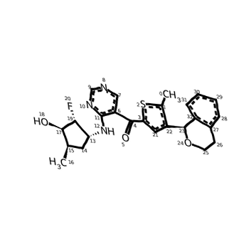 Cc1sc(C(=O)c2cncnc2N[C@@H]2C[C@@H](C)[C@@H](O)[C@@H]2F)cc1[C@@H]1OCCc2ccccc21